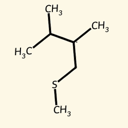 CSC[C](C)C(C)C